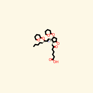 CCCCC[C@@H](/C=C/[C@H]1[C@H](OC2CCCCO2)CC(=O)[C@@H]1CC(=O)CCCCC(=O)O)OC1CCCCO1